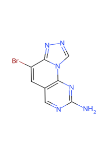 Nc1ncc2cc(Br)c3nncn3c2n1